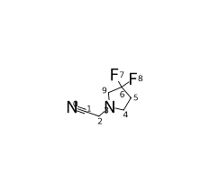 N#CCN1CCC(F)(F)C1